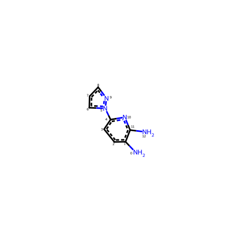 Nc1ccc(-n2cccn2)nc1N